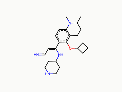 CC1CCc2c(ccc(/C(=C/C=N)NC3CCNCC3)c2OC2CCC2)N1C